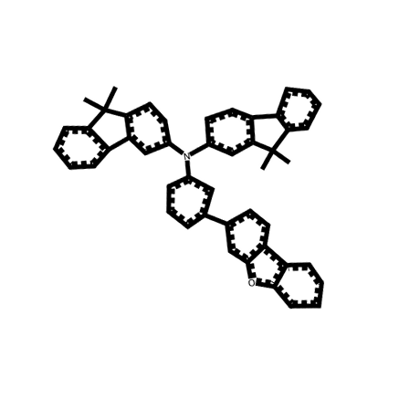 CC1(C)c2ccccc2-c2cc(N(c3cccc(-c4ccc5c(c4)oc4ccccc45)c3)c3ccc4c(c3)C(C)(C)c3ccccc3-4)ccc21